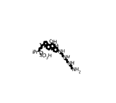 CC(C)[C@@H](CC[C@@H](C)C1CCC2C3C(CC[C@@]21C)[C@@]1(C)CC[C@H](NCCCNCCCNCCCN)C[C@@H]1C[C@H]3O)OS(=O)(=O)O